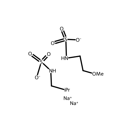 CC(C)CNS(=O)(=O)[O-].COCCNS(=O)(=O)[O-].[Na+].[Na+]